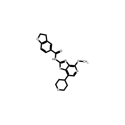 COc1ncc(C2CCOCC2)c2sc(NC(=O)c3ccc4c(c3)CCO4)nc12